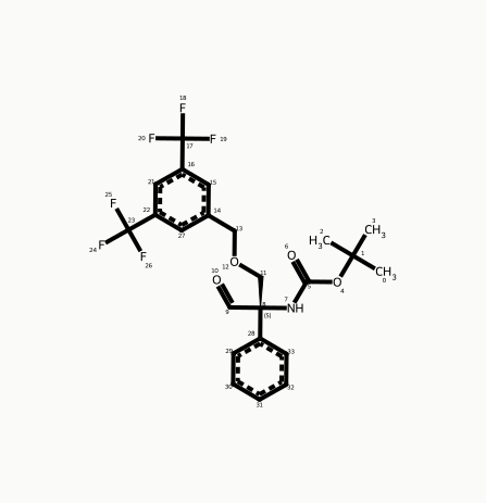 CC(C)(C)OC(=O)N[C@](C=O)(COCc1cc(C(F)(F)F)cc(C(F)(F)F)c1)c1ccccc1